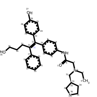 CCN(CC(=O)Nc1ccc(/C(=C(/CCCO)c2ccccc2)c2ccc(O)cc2)cc1)C[C@H]1CCNC1